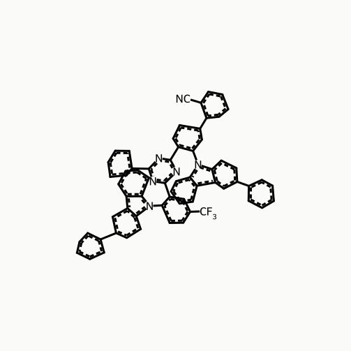 N#Cc1ccccc1-c1ccc(-c2nc(-c3ccccc3)nc(-c3cc(C(F)(F)F)ccc3-n3c4ccccc4c4cc(-c5ccccc5)ccc43)n2)c(-n2c3ccccc3c3cc(-c4ccccc4)ccc32)c1